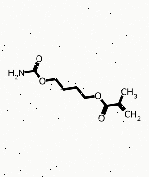 C=C(C)C(=O)OCC[CH]COC(N)=O